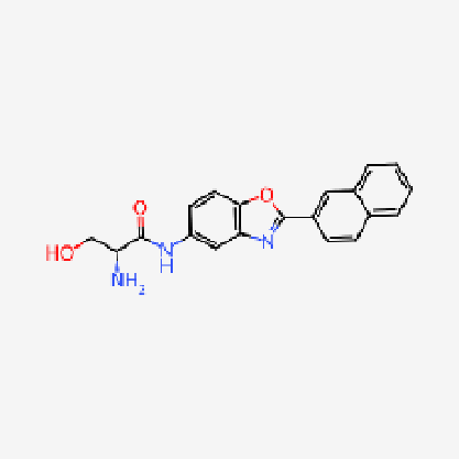 N[C@@H](CO)C(=O)Nc1ccc2oc(-c3ccc4ccccc4c3)nc2c1